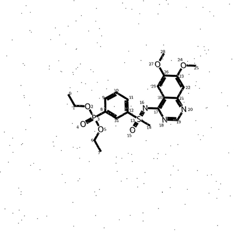 CCOP(=O)(OCC)c1cccc(S(C)(=O)=Nc2ncnc3cc(OC)c(OC)cc23)c1